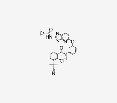 CC(C)(C#N)c1cccc(C(=O)NC2=CC=CC(Oc3ccc4nc(NC(=O)C5CC5)sc4n3)C2)c1Cl